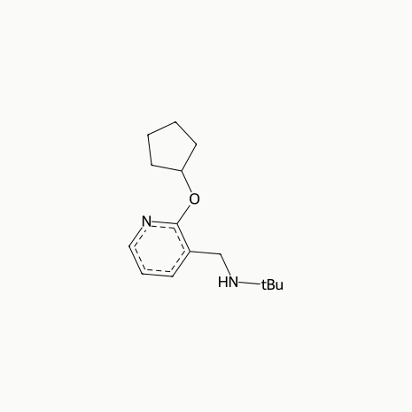 CC(C)(C)NCc1cccnc1OC1CCCC1